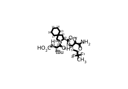 CC(F)(F)CC[C@H](NC(=O)[C@@H]1CC2(CCCCC2)CN1C(=O)[C@@H](NC(=O)O)C(C)(C)C)C(=O)C(N)=O